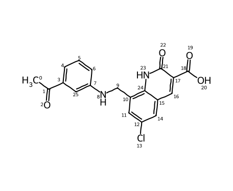 CC(=O)c1cccc(NCc2cc(Cl)cc3cc(C(=O)O)c(=O)[nH]c23)c1